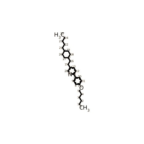 CCCCCCOc1ccc(-c2ccc(CCC3CCC(CCCCC)CC3)cn2)cc1